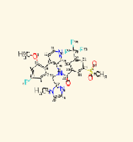 COc1cc(F)ccc1-c1ccncc1N(Cc1nccn1C)C(=O)c1cc(C(F)(F)F)cc(S(C)(=O)=O)c1